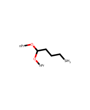 CCCOC(CCC[SiH3])OCCC